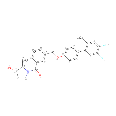 CSc1cc(F)c(F)cc1-c1ccc(OCc2cccc(C(=O)N3CC[C@H](O)[C@H]3C(=O)O)c2)cc1